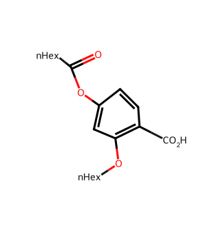 CCCCCCOc1cc(OC(=O)CCCCCC)ccc1C(=O)O